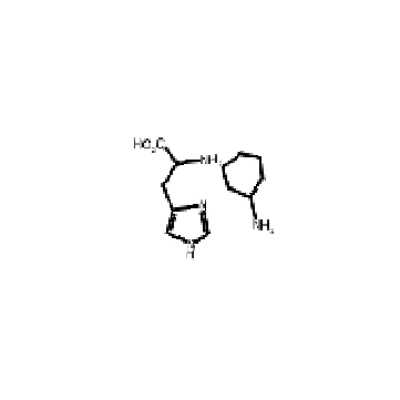 NC(Cc1c[nH]cn1)C(=O)O.NC1CCCCC1